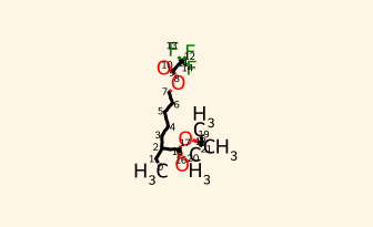 CCC(CCCCCOC(=O)C(F)(F)F)C(=O)OC(C)(C)C